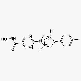 Cc1ccc(N2C[C@@H]3C[C@H]2CN3c2ncc(C(=O)NO)cn2)cc1